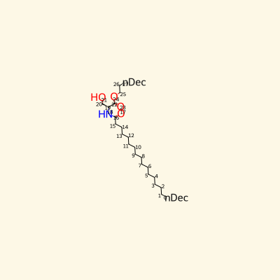 CCCCCCCCCCCCCCCCCCCCCCCCCC(=O)N[C@@H](CO)C(=O)OCCCCCCCCCCCC